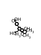 CC1(C)CCC(C)(C)c2cc3c(CCO)cc(-c4ccc(C(=O)O)cc4)cc3cc21